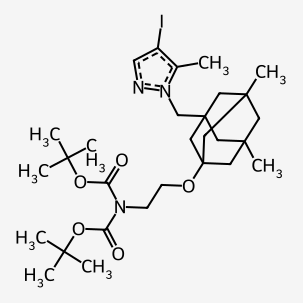 Cc1c(I)cnn1CC12CC3(C)CC(C)(C1)CC(OCCN(C(=O)OC(C)(C)C)C(=O)OC(C)(C)C)(C3)C2